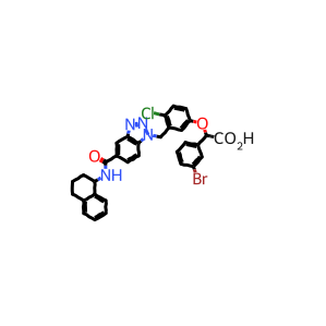 O=C(NC1CCCc2ccccc21)c1ccc2c(c1)nnn2Cc1cc(OC(C(=O)O)c2cccc(Br)c2)ccc1Cl